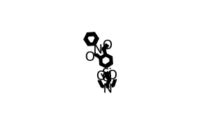 O=C1C2CC=C([Si]34OCCN(CCO3)CCO4)CC2C(=O)N1c1ccccc1